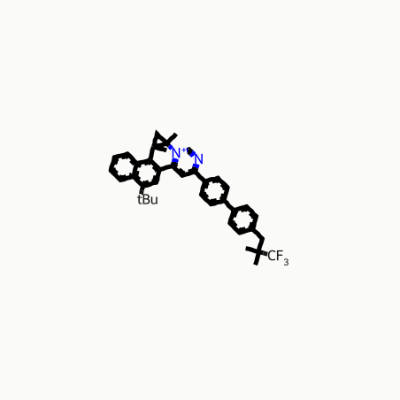 CC(C)(C)c1cc2c(c3ccccc13)C1(C)CC1(C)[n+]1cnc(-c3ccc(-c4ccc(CC(C)(C)C(F)(F)F)cc4)cc3)cc1-2